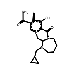 NC(=O)c1cn2c(c(O)c1=O)C(=O)N1CCCCN(CC3CC3)C1C2